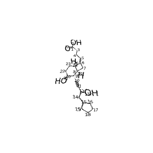 O=C(O)CC/C=C1/C[C@H]2[C@H](C#CC(O)CC3CCCC3)[C@@H](O)CC[C@@H]12